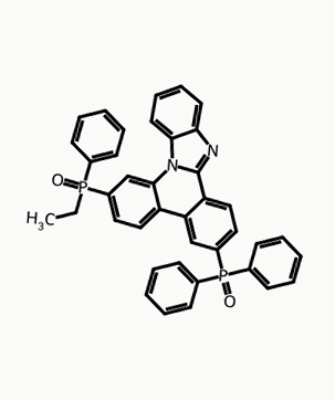 CCP(=O)(c1ccccc1)c1ccc2c3cc(P(=O)(c4ccccc4)c4ccccc4)ccc3c3nc4ccccc4n3c2c1